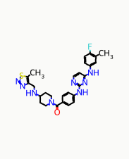 Cc1cc(Nc2ccnc(Nc3ccc(C(=O)N4CCC(NCc5nnsc5C)CC4)cc3)n2)ccc1F